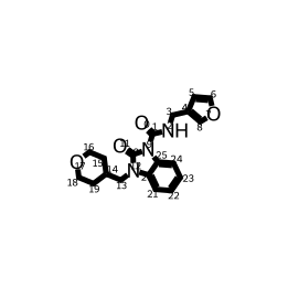 O=C(NCc1ccoc1)n1c(=O)n(CC2CCOCC2)c2ccccc21